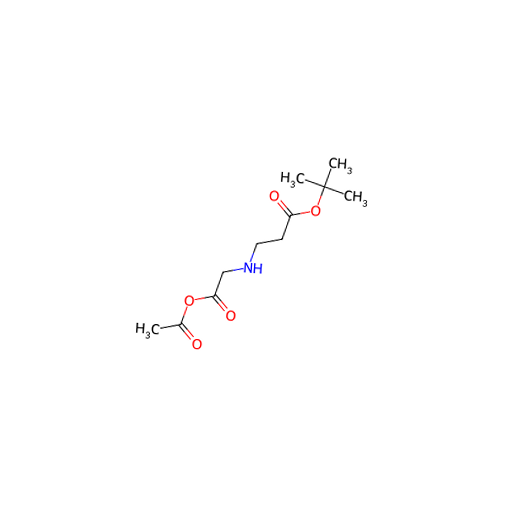 CC(=O)OC(=O)CNCCC(=O)OC(C)(C)C